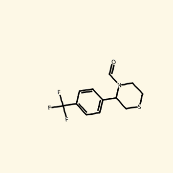 O=CN1CCSCC1c1ccc(C(F)(F)F)cc1